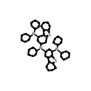 c1ccc(N(c2cc(N(c3ccccc3)c3ccccc3)c3c(c2)sc2ccccc23)c2cc(N(c3ccccc3)c3ccccc3)c3sc4ccccc4c3c2)cc1